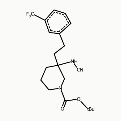 CC(C)(C)OC(=O)N1CCCC(CCc2cccc(C(F)(F)F)c2)(NC#N)C1